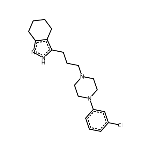 Clc1cccc(N2CCN(CCCc3[nH]nc4c3CCCC4)CC2)c1